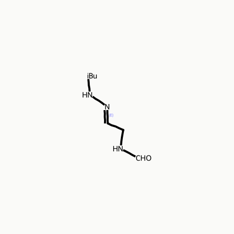 CCC(C)N/N=C/CNC=O